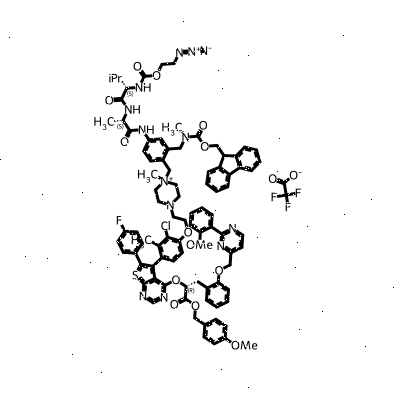 COc1ccc(COC(=O)[C@@H](Cc2ccccc2OCc2ccnc(-c3ccccc3OC)n2)Oc2ncnc3sc(-c4ccc(F)cc4)c(-c4ccc(OCCN5CC[N+](C)(Cc6ccc(NC(=O)[C@H](C)NC(=O)[C@@H](NC(=O)OCCN=[N+]=[N-])C(C)C)cc6CN(C)C(=O)OCC6c7ccccc7-c7ccccc76)CC5)c(Cl)c4C)c23)cc1.O=C([O-])C(F)(F)F